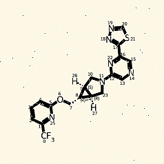 FC(F)(F)c1cccc(OC[C@@H]2[C@H]3CN(c4cncc(-c5nncs5)n4)C[C@@H]23)n1